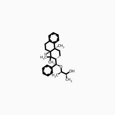 C[C@H](O)[C@@H](C)O[C@@H](c1ccccc1)[C@H]1CC[C@]2(C)c3ccccc3CC[C@H]2C1(C)C